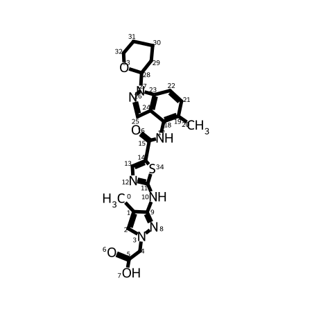 Cc1cn(CC(=O)O)nc1Nc1ncc(C(=O)Nc2c(C)ccc3c2cnn3C2CCCCO2)s1